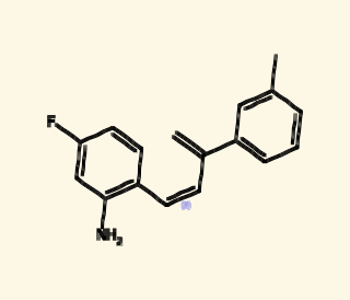 C=C(/C=C\c1ccc(F)cc1N)c1cccc(C)c1